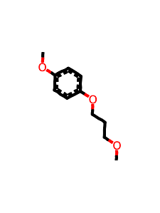 COCCCOc1ccc(OC)cc1